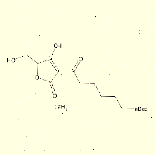 CCCCCCCCCCCCCCCC(=O)C1=C(O)C(CO)OC1=O.[CaH2]